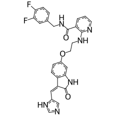 O=C1Nc2cc(OCCNc3ncccc3C(=O)NCc3ccc(F)c(F)c3)ccc2C1=Cc1cnc[nH]1